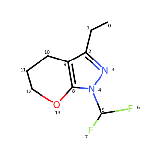 CCc1nn(C(F)F)c2c1CCCO2